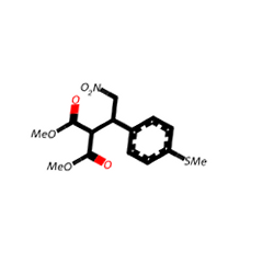 COC(=O)C(C(=O)OC)C(C[N+](=O)[O-])c1ccc(SC)cc1